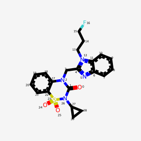 O=C1N(Cc2nc3ccccc3n2CCCF)c2ccccc2S(=O)(=O)N1C1CC1